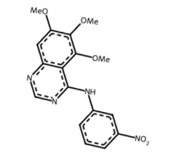 COc1cc2ncnc(Nc3cccc([N+](=O)[O-])c3)c2c(OC)c1OC